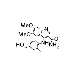 COc1cc2ncc(C(N)=O)c(Nc3ccc(CO)cc3C)c2cc1OC